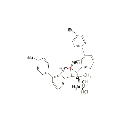 CCC(C)C1=Cc2c(-c3ccc(C(C)CC)cc3)cccc2[CH]1[Zr]([CH3])([CH3])(=[SiH2])[CH]1C(C)=Cc2c(-c3ccc(C(C)CC)cc3)cccc21.Cl.Cl